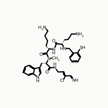 CN(C(=O)[C@H](CCCCN)NC(=O)[C@H](CCCN)NCc1ccccc1S)[C@@H](Cc1c[nH]c2ccccc12)C(=O)NC/C=C(\Cl)C=N